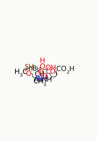 CCCCC(C)(S)OCCC(C)(C)NC(=O)O[C@@H]([C@@H]1OC(C(=O)O)=CC[C@H]1NC(C)=O)[C@H](O)CO